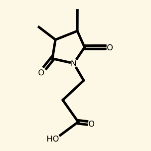 CC1C(=O)N(CCC(=O)O)C(=O)C1C